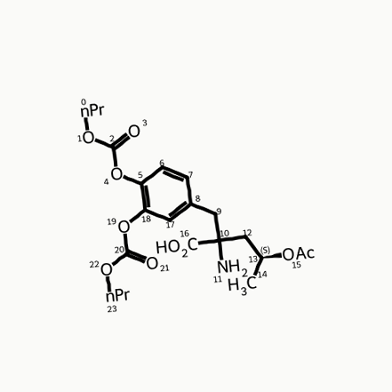 CCCOC(=O)Oc1ccc(CC(N)(C[C@H](C)OC(C)=O)C(=O)O)cc1OC(=O)OCCC